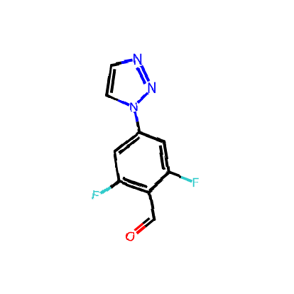 O=Cc1c(F)cc(-n2ccnn2)cc1F